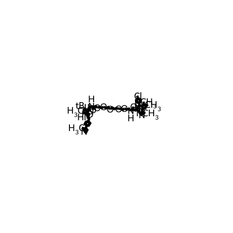 CC1=C(C)C2=C(C1)n1c(C)nnc1C(CC(=O)NCCOCCOCCCOCCOCCOCC(=O)NC(C(=O)N1CC(C)CC1C(=O)NCc1ccc(C3=C(C)N=CC3)cc1)C(C)(C)C)N=C2c1ccc(Cl)cc1